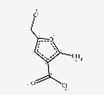 Cc1oc(CCl)cc1C(=O)Cl